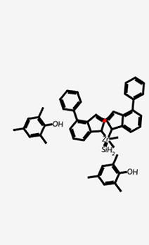 CC1=Cc2c(-c3ccccc3)cccc2[CH]1[Zr]([CH3])([CH3])(=[SiH2])[CH]1C(C)=Cc2c(-c3ccccc3)cccc21.Cc1cc(C)c(O)c(C)c1.Cc1cc(C)c(O)c(C)c1